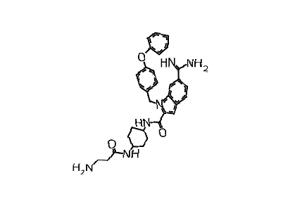 N=C(N)c1ccc2cc(C(=O)NC3CCC(NC(=O)CCN)CC3)n(Cc3ccc(Oc4ccccc4)cc3)c2c1